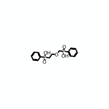 O=P(O)(CCOCP(=O)(O)c1ccccc1)c1ccccc1